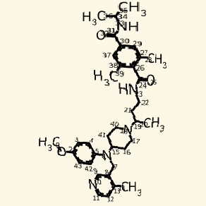 COc1ccc(N(Cc2cnccc2C)C2CCN(C(C)CCNC(=O)c3c(C)cc(C(=O)NC(C)C)cc3C)CC2)cc1